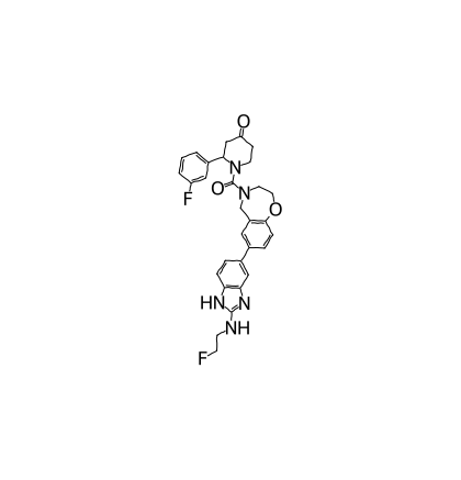 O=C1CCN(C(=O)N2CCOc3ccc(-c4ccc5[nH]c(NCCF)nc5c4)cc3C2)C(c2cccc(F)c2)C1